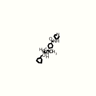 CC(C)(NC(=O)OCc1ccccc1)[C@H]1CC[C@H](C(=O)Nc2ccncc2)CC1.Cl